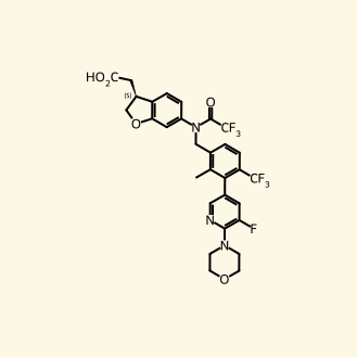 Cc1c(CN(C(=O)C(F)(F)F)c2ccc3c(c2)OC[C@H]3CC(=O)O)ccc(C(F)(F)F)c1-c1cnc(N2CCOCC2)c(F)c1